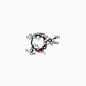 CO[C@@H]1CC(C[C@@H](C)C2CC(=O)[C@H](C)/C=C(\C)[C@@H](O)[C@@H](OC)C(=O)[C@H](C)C[C@H](C)/C=C/C=C/C=C(\C)C(OC(C)(C)CCO)C[C@@H]3CC[C@@H](C)[C@@](O)(O3)C(=O)C(=O)N3CCCC[C@H]3C(=O)O2)CC[C@H]1OCCO